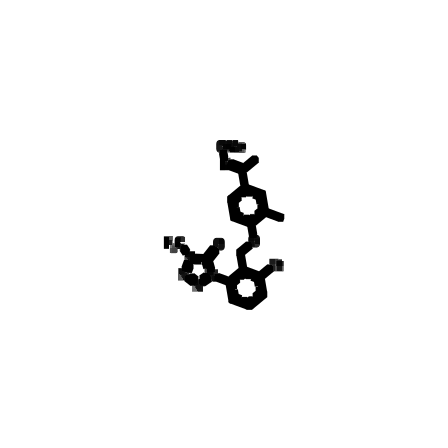 CCc1cccc(-n2nnn(C(F)(F)F)c2=O)c1COc1ccc(/C(C)=N/OC)cc1C